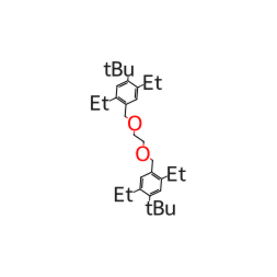 CCc1cc(C(C)(C)C)c(CC)cc1COCCOCc1cc(CC)c(C(C)(C)C)cc1CC